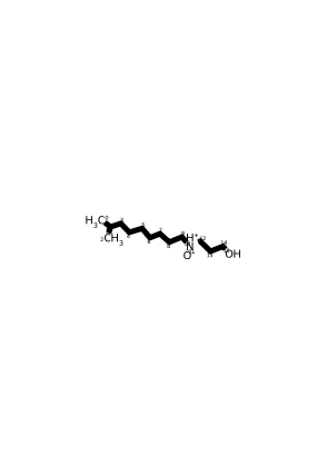 CC(C)CCCCCCC[NH+]([O-])CCCO